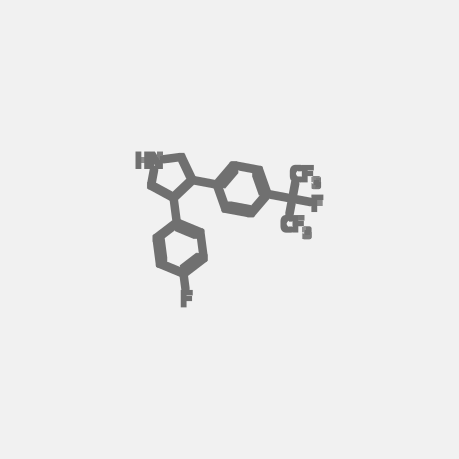 Fc1ccc(C2CNCC2c2ccc(C(F)(C(F)(F)F)C(F)(F)F)cc2)cc1